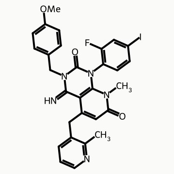 COc1ccc(Cn2c(=N)c3c(Cc4cccnc4C)cc(=O)n(C)c3n(-c3ccc(I)cc3F)c2=O)cc1